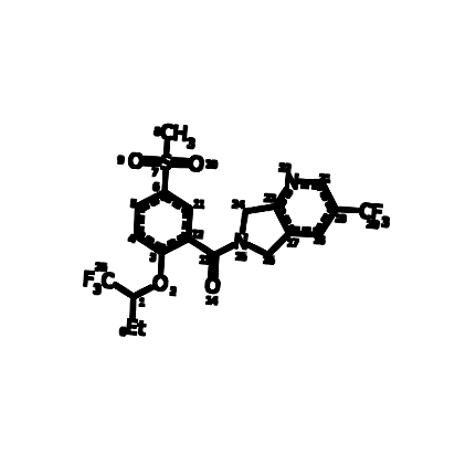 CCC(Oc1ccc(S(C)(=O)=O)cc1C(=O)N1Cc2cc(C(F)(F)F)cnc2C1)C(F)(F)F